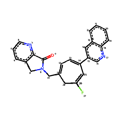 O=C1c2ncccc2CN1CC1=CC=C(c2cnc3ccccc3c2)C=C(F)C1